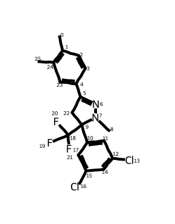 Cc1ccc(C2=NN(C)C(c3cc(Cl)cc(Cl)c3)(C(F)(F)F)C2)cc1C